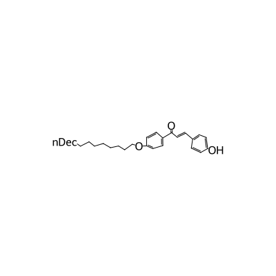 CCCCCCCCCCCCCCCCCCOc1ccc(C(=O)C=Cc2ccc(O)cc2)cc1